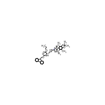 C=CCOC(=O)[C@H](CCCN/C(N)=N/S(=O)(=O)c1c(C)c(C)c2c(c1C)CC(C)(C)O2)NC(=O)OCC1c2ccccc2-c2ccccc21